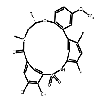 C[C@H]1CN(C)C(=O)c2cc(Cl)c(O)c(c2)S(=O)(=O)Nc2cc(c(F)cc2F)-c2cc(OC(F)(F)F)ccc2O1